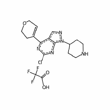 Clc1nc(C2=CCOCC2)c2cnn(C3CCNCC3)c2n1.O=C(O)C(F)(F)F